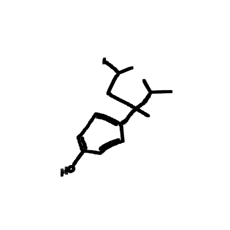 CC(I)CC(C)(c1ccc(O)cc1)C(C)C